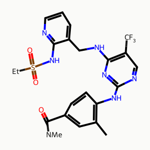 CCS(=O)(=O)Nc1ncccc1CNc1nc(Nc2ccc(C(=O)NC)cc2C)ncc1C(F)(F)F